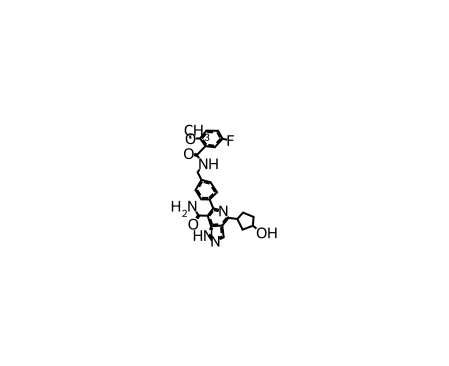 COc1ccc(F)cc1C(=O)NCc1ccc(-c2nc(C3CCC(O)C3)c3cn[nH]c3c2C(N)=O)cc1